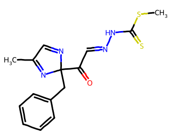 CSC(=S)NN=CC(=O)C1(Cc2ccccc2)N=CC(C)=N1